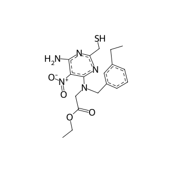 CCOC(=O)CN(Cc1cccc(CC)c1)c1nc(CS)nc(N)c1[N+](=O)[O-]